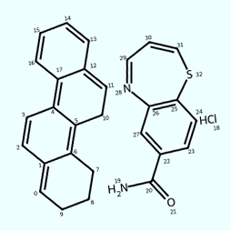 C1=c2ccc3c(c2CCC1)CC=c1ccccc1=3.Cl.NC(=O)c1ccc2c(c1)N=CC=CS2